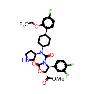 COC(=O)[C@@H]1OC(=O)N(C(=O)N([C@@H]2CCNC2)[C@H]2CC[C@H](c3ccc(F)cc3OCC(F)(F)F)CC2)[C@H]1c1ccc(F)c(F)c1